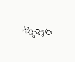 Cc1cnccc1C(=O)Nc1ccc(-c2cc3c(cc2Cl)OC(F)(F)O3)cn1